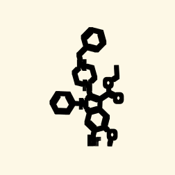 CCOC(=O)c1c(N2CCN(Cc3ccccc3)CC2)n(-c2ccccc2)c2cc(Br)c(OC)cc12